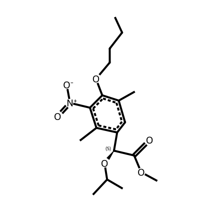 CCCCOc1c(C)cc([C@H](OC(C)C)C(=O)OC)c(C)c1[N+](=O)[O-]